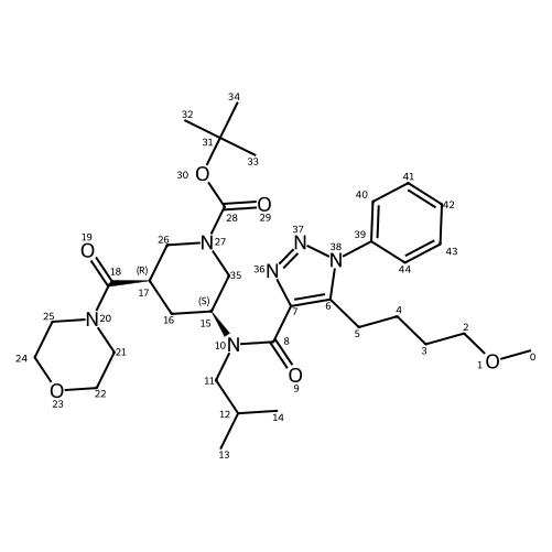 COCCCCc1c(C(=O)N(CC(C)C)[C@H]2C[C@@H](C(=O)N3CCOCC3)CN(C(=O)OC(C)(C)C)C2)nnn1-c1ccccc1